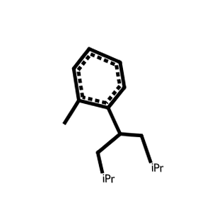 Cc1ccccc1C(CC(C)C)CC(C)C